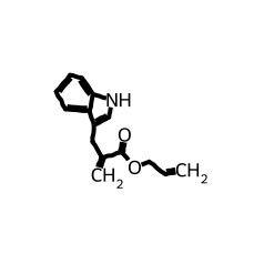 C=CCOC(=O)C(=C)Cc1c[nH]c2ccccc12